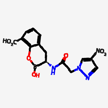 O=C(Cn1cc([N+](=O)[O-])cn1)N[C@H]1Cc2cccc(C(=O)O)c2OB1O